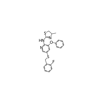 CC1CSC(Nc2ncc(SCc3ccccc3F)cc2Oc2ccccc2)=N1